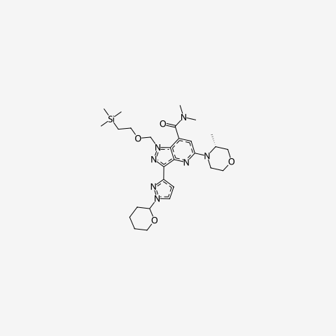 C[C@@H]1COCCN1c1cc(C(=O)N(C)C)c2c(n1)c(-c1ccn(C3CCCCO3)n1)nn2COCC[Si](C)(C)C